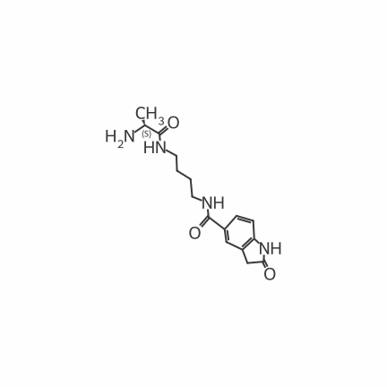 C[C@H](N)C(=O)NCCCCNC(=O)c1ccc2c(c1)CC(=O)N2